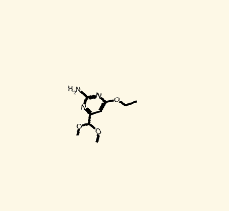 CCOc1cc(C(OC)OC)nc(N)n1